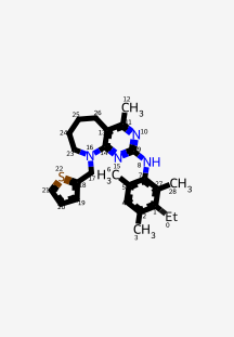 CCc1c(C)cc(C)c(Nc2nc(C)c3c(n2)N(Cc2cccs2)CCCC3)c1C